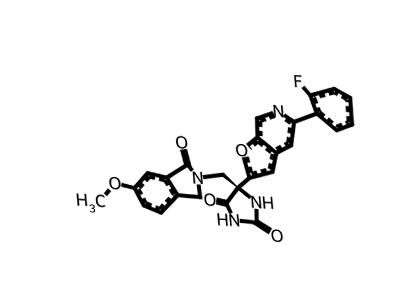 COc1ccc2c(c1)C(=O)N(C[C@@]1(c3cc4cc(-c5ccccc5F)ncc4o3)NC(=O)NC1=O)C2